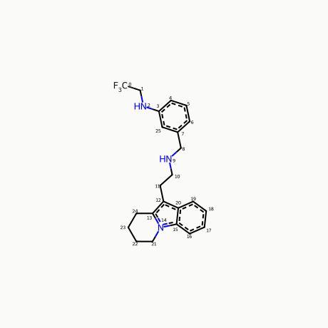 FC(F)(F)CNc1cccc(CNCCc2c3n(c4ccccc24)CCCC3)c1